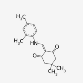 Cc1ccc(NC=C2C(=O)CC(C)(C)CC2=O)c(C)c1